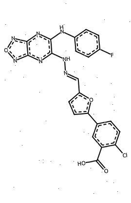 O=C(O)c1cc(-c2ccc(C=NNc3nc4nonc4nc3Nc3ccc(F)cc3)o2)ccc1Cl